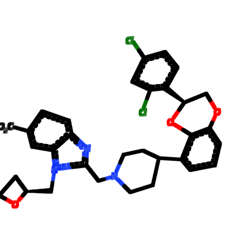 O=C(O)c1ccc2nc(CN3CCC(c4cccc5c4O[C@@H](c4ccc(Cl)cc4Cl)CO5)CC3)n(C[C@@H]3CCO3)c2c1